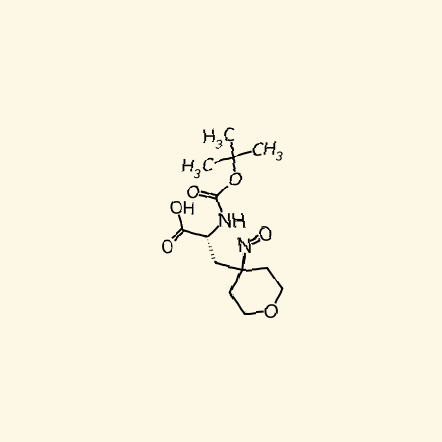 CC(C)(C)OC(=O)N[C@H](CC1(N=O)CCOCC1)C(=O)O